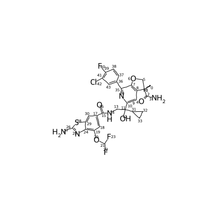 C[C@]1(C(N)=O)COc2c1cc(C(O)(CNC(=O)c1cc(OC(F)F)c3nc(N)sc3c1)C1CC1)nc2-c1ccc(F)c(Cl)c1